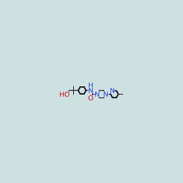 Cc1ccc(N2CCN(C(=O)Nc3ccc(C(C)(C)CO)cc3)CC2)nc1